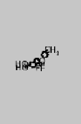 CC1CCC(Oc2ccc3cc(B(O)O)ccc3c2C(F)(F)F)CC1